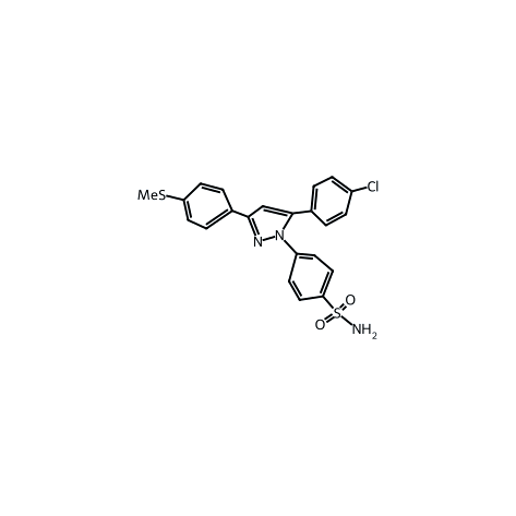 CSc1ccc(-c2cc(-c3ccc(Cl)cc3)n(-c3ccc(S(N)(=O)=O)cc3)n2)cc1